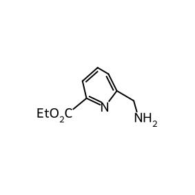 CCOC(=O)c1cccc(CN)n1